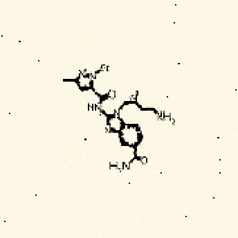 CCn1nc(C)cc1C(=O)Nc1nc2cc(C(N)=O)ccc2n1C[C@@H](C)CCN